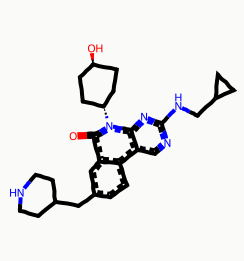 O=c1c2cc(CC3CCNCC3)ccc2c2cnc(NCC3CC3)nc2n1[C@H]1CC[C@H](O)CC1